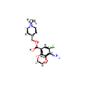 [11CH3]N1CCC(COC(=O)c2cc(Cl)c(N)c3c2OCCO3)CC1